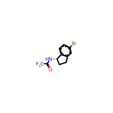 O=C(N[C@H]1CCc2cc(Br)ccc21)C(F)(F)F